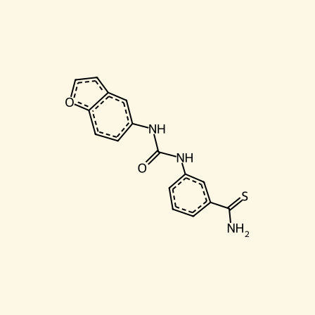 NC(=S)c1cccc(NC(=O)Nc2ccc3occc3c2)c1